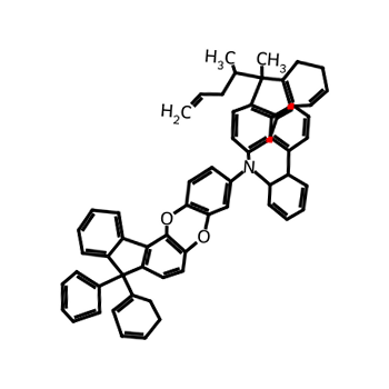 C=CCC(C)C1(C)C2=C(C=CCC2)c2cc(N(c3ccc4c(c3)Oc3ccc5c(c3O4)-c3ccccc3C5(C3=CC=CCC3)c3ccccc3)C3C=CC=CC3c3ccccc3)ccc21